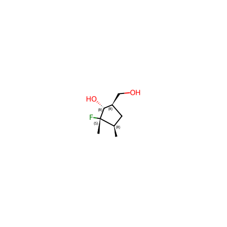 C[C@@H]1C[C@H](CO)[C@@H](O)[C@@]1(C)F